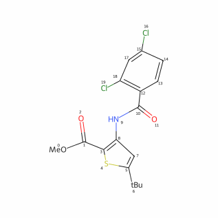 COC(=O)c1sc(C(C)(C)C)cc1NC(=O)c1ccc(Cl)cc1Cl